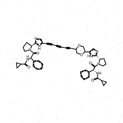 O=C(N[C@@H](C(=O)N1CCC[C@H]1c1ncc(C#CC#CC#CC2COC(c3cnc([C@@H]4CCCN4C(=O)[C@H](NC(=O)C4CC4)c4ccccc4)[nH]3)CO2)[nH]1)c1ccccc1)C1CC1